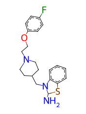 NC1Sc2ccccc2N1CC1CCN(CCOc2ccc(F)cc2)CC1